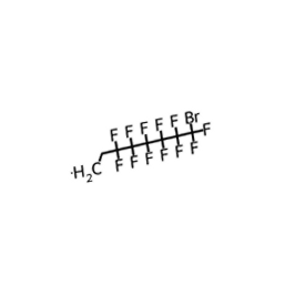 [CH2]CC(F)(F)C(F)(F)C(F)(F)C(F)(F)C(F)(F)C(F)(F)Br